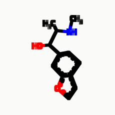 CNC(C)C(O)c1ccc2ccoc2c1